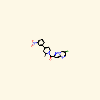 CC1CC(c2cccc([N+](=O)[O-])c2)=CCN1C(=O)c1cc2ncc(Cl)cn2n1